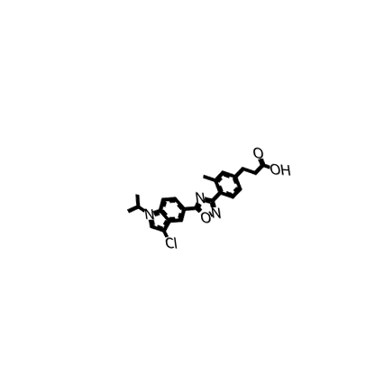 Cc1cc(CCC(=O)O)ccc1-c1noc(-c2ccc3c(c2)c(Cl)cn3C(C)C)n1